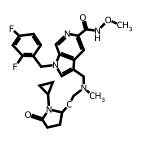 CONC(=O)c1cc2c(CN(C)CCC3CCC(=O)N3C3CC3)cn(Cc3ccc(F)cc3F)c2cn1